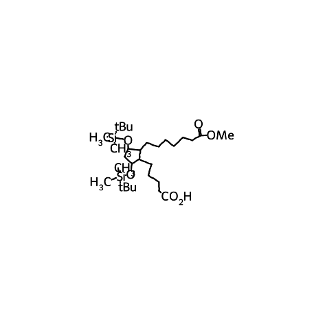 COC(=O)CCCCCCC1C(O[Si](C)(C)C(C)(C)C)CC(O[Si](C)(C)C(C)(C)C)C1CCCCC(=O)O